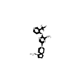 Nc1nc(N2CCC3(CCC[C@H]3N)CC2)cnc1Sc1ccncc1C(F)(F)F